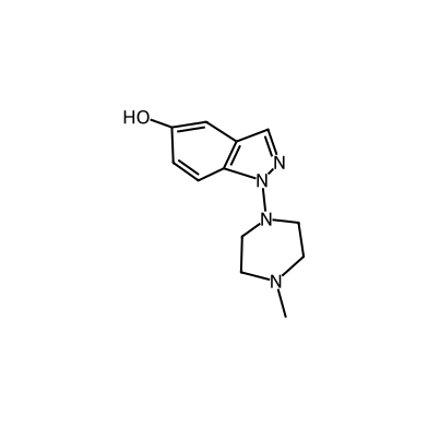 CN1CCN(n2ncc3cc(O)ccc32)CC1